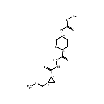 CC(C)(C)OC(=O)N[C@@H]1CC[C@@H](C(=O)NNC(=O)[C@@H]2C[C@H]2COC(F)(F)F)OC1